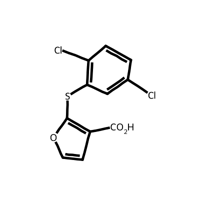 O=C(O)c1ccoc1Sc1cc(Cl)ccc1Cl